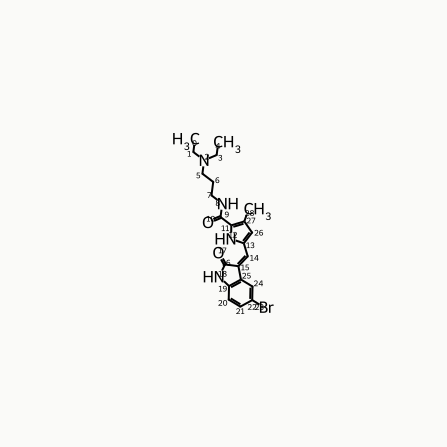 CCN(CC)CCCNC(=O)c1[nH]c(C=C2C(=O)Nc3ccc(Br)cc32)cc1C